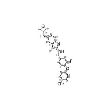 Cn1c(NCc2ccc(Oc3ccc(Cl)cn3)c(F)c2)nc2ccc(NC3COC3)cc21